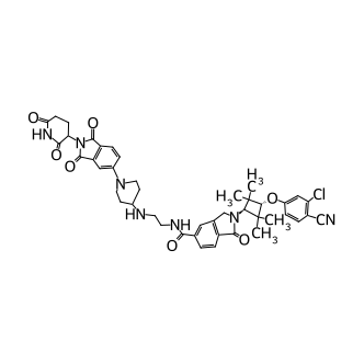 CC1(C)[C@H](Oc2ccc(C#N)c(Cl)c2)C(C)(C)[C@H]1N1Cc2cc(C(=O)NCCNC3CCN(c4ccc5c(c4)C(=O)N(C4CCC(=O)NC4=O)C5=O)CC3)ccc2C1=O